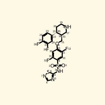 O=S(=O)(Nc1ncns1)c1cc(F)c(OC[C@@H]2CNCC[C@H]2c2ccc(F)c(F)c2)cc1F